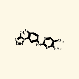 CNc1nc(Nc2ccc(F)c(-n3nnnc3C)c2)ncc1C